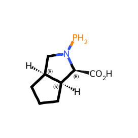 O=C(O)[C@H]1[C@H]2CCC[C@H]2CN1P